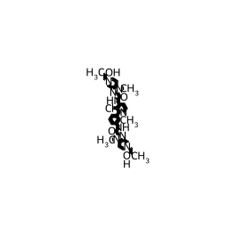 Cc1c(NC(=O)c2nc3c(n2C)CCN(C[C@H](C)O)C3)cccc1-c1nccc(NC(=O)c2nc3c(n2C)CCN(C[C@H](C)O)C3)c1Cl